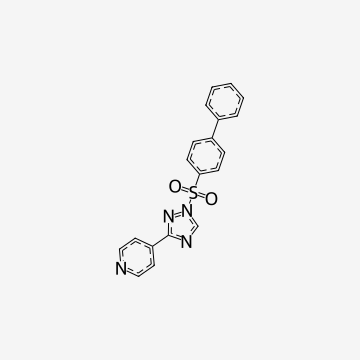 O=S(=O)(c1ccc(-c2ccccc2)cc1)n1cnc(-c2ccncc2)n1